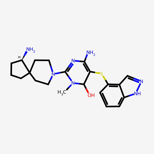 CN1C(N2CCC3(CCC[C@H]3N)CC2)=NC(N)=C(Sc2cccc3[nH]ncc23)C1O